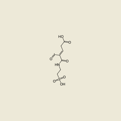 O=IC(=CCC(=O)O)C(=O)NCCS(=O)(=O)O